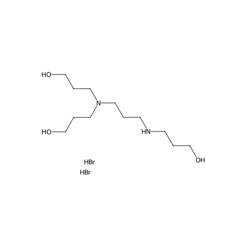 Br.Br.OCCCNCCCN(CCCO)CCCO